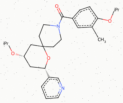 Cc1cc(C(=O)N2CCC3(CC2)C[C@@H](OC(C)C)C[C@@H](c2cccnc2)O3)ccc1OC(C)C